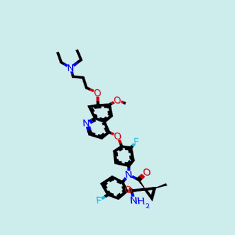 CCN(CC)CCCOc1cc2nccc(Oc3ccc(N(C(=O)[C@]4(C(N)=O)C[C@@H]4C)c4ccc(F)cc4)cc3F)c2cc1OC